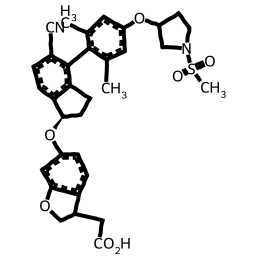 Cc1cc(OC2CCN(S(C)(=O)=O)C2)cc(C)c1-c1c(C#N)ccc2c1CC[C@H]2Oc1ccc2c(c1)OCC2CC(=O)O